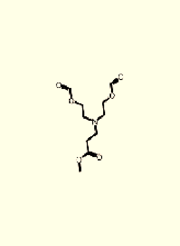 COC(=O)CCN(CCOC=O)CCOC=O